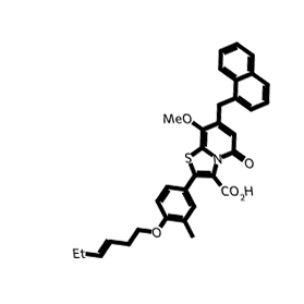 CCC=CCCOc1ccc(-c2sc3c(OC)c(Cc4cccc5ccccc45)cc(=O)n3c2C(=O)O)cc1C